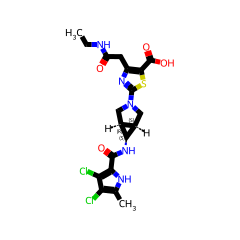 CCNC(=O)Cc1nc(N2C[C@@H]3[C@H](C2)[C@H]3NC(=O)c2[nH]c(C)c(Cl)c2Cl)sc1C(=O)O